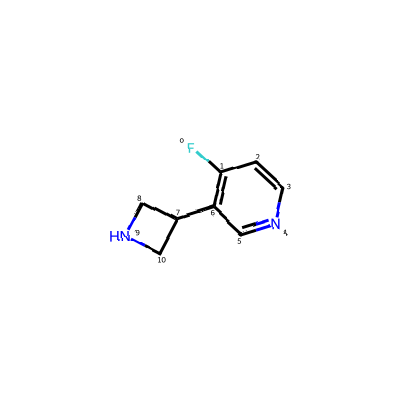 Fc1ccncc1C1CNC1